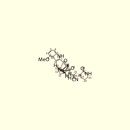 COc1cccc2[nH]c(C(=O)N3[C@H]4CC[C@@H]([C@H]3C(=O)N[C@H](C#N)C[C@H]3CCCNC3=O)C(F)(F)C4)cc12